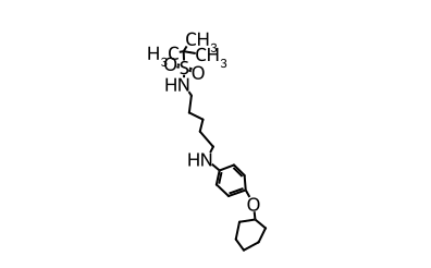 CC(C)(C)S(=O)(=O)NCCCCCNc1ccc(OC2CCCCC2)cc1